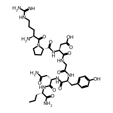 CCC[C@H](NC(=O)[C@H](CC(N)=O)NC(=O)[C@H](Cc1ccc(O)cc1)NC(=O)CNC(=O)[C@H](CC(=O)O)NC(=O)[C@@H]1CCCN1C(=O)[C@@H](N)CCCNC(=N)N)C(N)=O